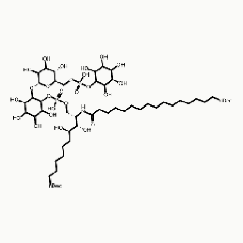 CCCCCCCCCCCCCCCCCCCCCCCCCC(=O)N[C@@H](COP(=O)(O)O[C@H]1C(O)C(O)C(O)[C@@H](O)C1O[C@H]1O[C@H](COP(=O)(O)OC2C(O)C(O)C(O)[C@@H](O)C2O)[C@@H](O)C(O)C1O)[C@H](O)[C@H](O)CCCCCCCCCCCCCCCC